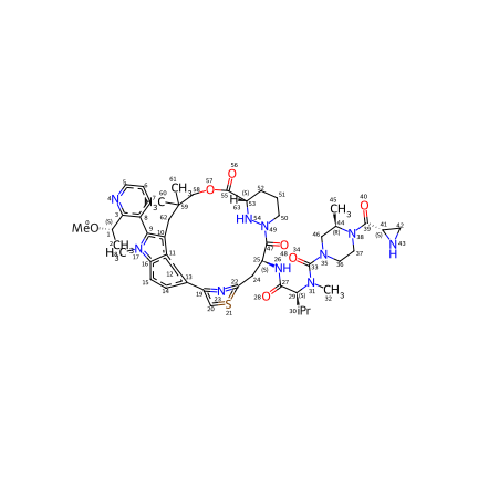 CO[C@@H](C)c1ncccc1-c1c2c3cc(ccc3n1C)-c1csc(n1)C[C@H](NC(=O)[C@H](C(C)C)N(C)C(=O)N1CCN(C(=O)[C@@H]3CN3)[C@H](C)C1)C(=O)N1CCC[C@H](N1)C(=O)OCC(C)(C)C2